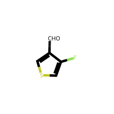 O=Cc1cscc1F